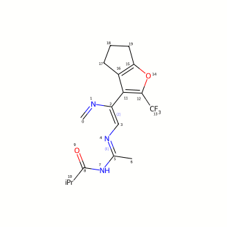 C=N/C(=C\N=C(/C)NC(=O)C(C)C)c1c(C(F)(F)F)oc2c1CCC2